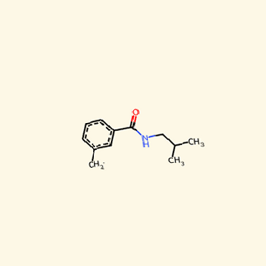 [CH2]c1cccc(C(=O)NCC(C)C)c1